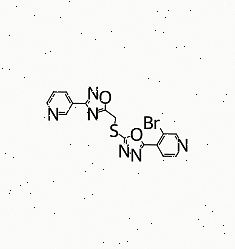 Brc1cnccc1-c1nnc(SCc2nc(-c3cccnc3)no2)o1